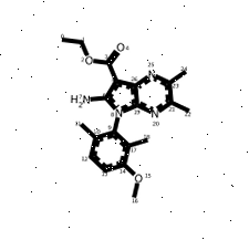 CCOC(=O)c1c(N)n(-c2c(C)ccc(OC)c2C)c2nc(C)c(C)nc12